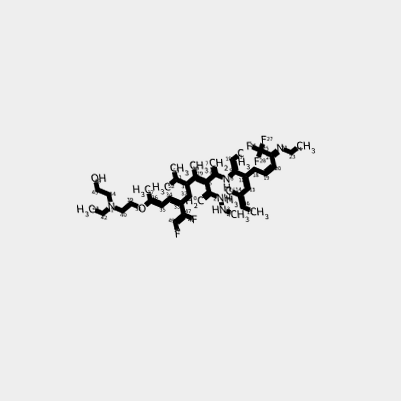 C=C(NNC)/C(C(=C)NC(=C/C)/C(=C\C(C)=C/C)C/C=C\C(=N/CC)C(F)(F)F)=C(/C)C(CC(=C/C=C(\C)OCCN(CC)CCO)/C(F)=C/F)C(C)C